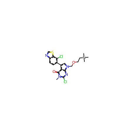 Cn1c(Cl)nc2c(c(-c3ccc4ncsc4c3Cl)cn2COCC[Si](C)(C)C)c1=O